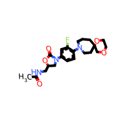 CC(=O)NCC1CN(c2ccc(N3CCCC4(CC3)COCCO4)c(F)c2)C(=O)O1